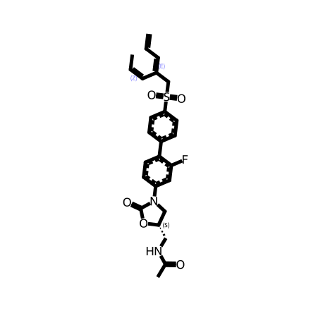 C=C/C=C(\C=C/C)CS(=O)(=O)c1ccc(-c2ccc(N3C[C@H](CNC(C)=O)OC3=O)cc2F)cc1